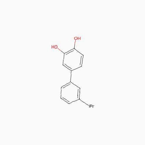 CC(C)c1cccc(-c2ccc(O)c(O)c2)c1